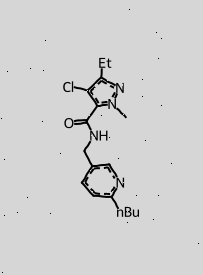 CCCCc1ccc(CNC(=O)c2c(Cl)c(CC)nn2C)cn1